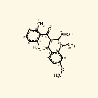 COc1ccc(C(=O)C(CP=O)C(=O)c2c(C)cccc2C)c(OC)c1